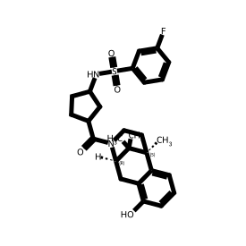 CC1(C)[C@H]2Cc3c(O)cccc3[C@]1(C)CCN2C(=O)C1CCC(NS(=O)(=O)c2cccc(F)c2)C1